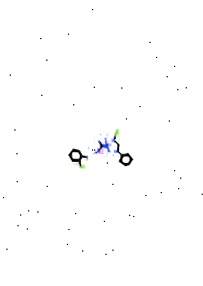 O=C(NCc1ccccc1C(F)(F)F)c1cnn2c1NC(c1ccccc1)CC2C(F)(F)F